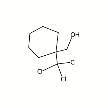 OCC1(C(Cl)(Cl)Cl)CCCCC1